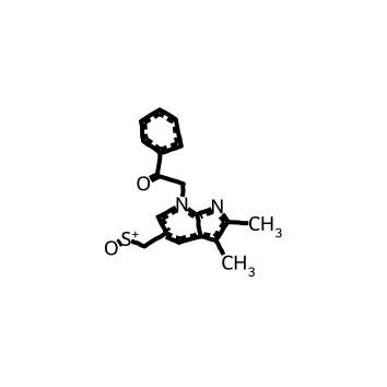 Cc1nc2n(CC(=O)c3ccccc3)cc(C[S+]=O)cc-2c1C